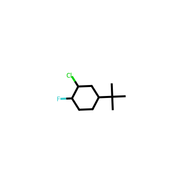 CC(C)(C)C1CCC(F)C(Cl)C1